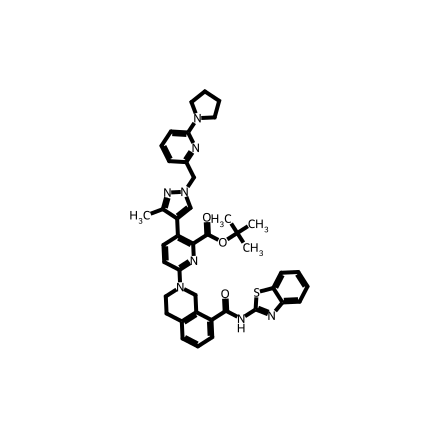 Cc1nn(Cc2cccc(N3CCCC3)n2)cc1-c1ccc(N2CCc3cccc(C(=O)Nc4nc5ccccc5s4)c3C2)nc1C(=O)OC(C)(C)C